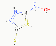 ONc1nnc(S)s1